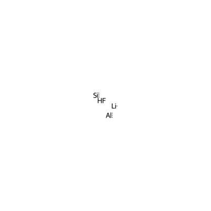 F.[Al].[Li].[Si]